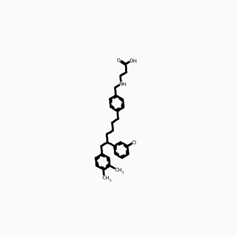 Cc1ccc(CC(CCCCc2ccc(CNCCC(=O)O)cc2)c2cccc(Cl)c2)cc1C